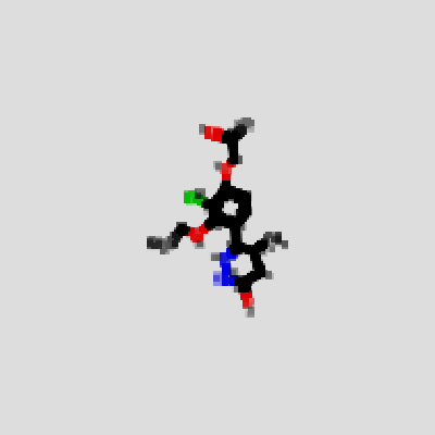 CCC(=O)COc1ccc(C2=NNC(=O)CC2C)c(OCOC)c1Cl